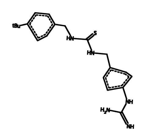 CC(C)(C)c1ccc(CNC(=S)NCc2ccc(NC(=N)N)cc2)cc1